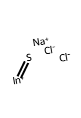 [Cl-].[Cl-].[Na+].[S]=[In+]